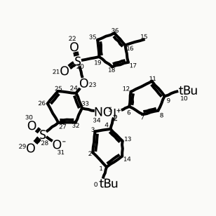 CC(C)(C)c1ccc([I+]c2ccc(C(C)(C)C)cc2)cc1.Cc1ccc(S(=O)(=O)Oc2ccc(S(=O)(=O)[O-])cc2[N+](=O)[O-])cc1